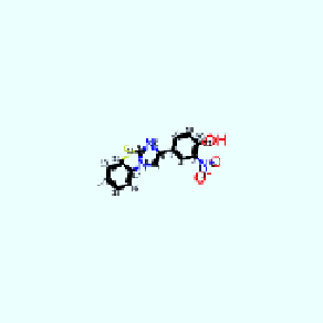 O=[N+]([O-])c1cc(-c2cn3c(n2)sc2ccccc23)ccc1O